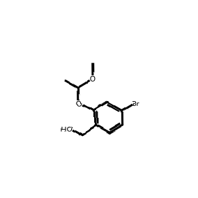 COC(C)Oc1cc(Br)ccc1CO